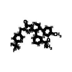 Cc1ccc(-c2cnn3c(=O)n(Cc4ccc(C(F)(F)F)nc4)nc3c2-c2cccc(C(N)=O)c2)cc1